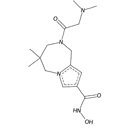 CN(C)CC(=O)N1Cc2cc(C(=O)NO)cn2CC(C)(C)C1